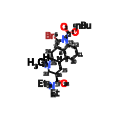 CCCCOC(=O)n1c(Br)c2c3c(cccc31)C1=C[C@@H](C(=O)N(CC)CC)CN(C)[C@@H]1C2